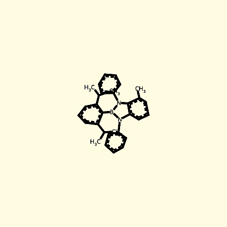 Cc1cccc2c1N(c1ccccc1)B(c1c(C(C)C)cccc1C(C)C)N2c1ccccc1